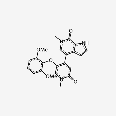 COc1cccc(OC)c1Oc1cn(C)c(=O)cc1-c1cn(C)c(=O)c2[nH]ccc12